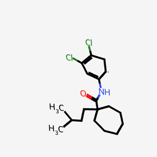 CC(C)CCC1(C(=O)NC2=CC(Cl)=C(Cl)C[CH]2)CCCCCC1